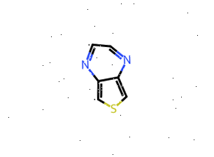 [c]1cnc2cs[c]c2n1